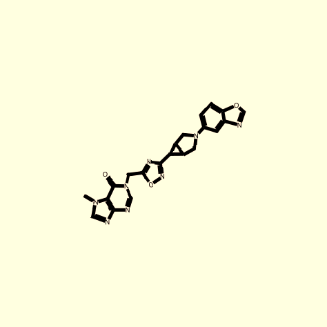 Cn1cnc2ncn(Cc3nc(C4C5CN(c6ccc7ocnc7c6)CC54)no3)c(=O)c21